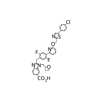 O=C(O)c1ccc2nc(Cc3cc(F)c(-c4cccc(OCc5ncc(-c6ccc(Cl)cc6)s5)n4)cc3F)n(C[C@@H]3CCO3)c2c1